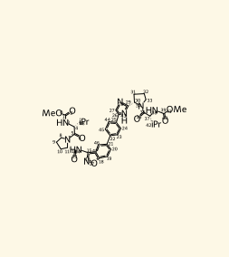 COC(=O)N[C@@H](C(=O)N1CCC[C@H]1C(=O)Nc1noc2ccc(-c3ccc(-c4cnc([C@@H]5CCCN5C(=O)[C@H](NC(=O)OC)C(C)C)[nH]4)cc3)cc12)C(C)C